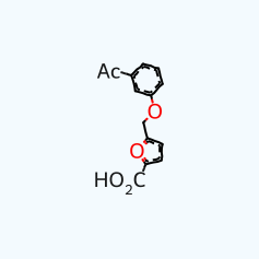 CC(=O)c1cccc(OCc2ccc(C(=O)O)o2)c1